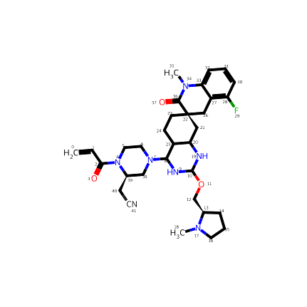 C=CC(=O)N1CCN(C2NC(OC[C@H]3CCCN3C)NC3C[C@]4(CCC32)Cc2c(F)cccc2N(C)C4=O)C[C@H]1CC#N